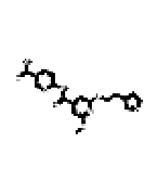 COc1cc(C(=O)Nc2ccc(C(=O)O)cn2)cc(OCCc2ccsc2)n1